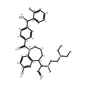 CCN(CC)CCN(C)C(C=O)C1CCCN(C(=O)c2ccc(C(O)c3ccccc3C)cc2)c2ccc(Cl)cc21